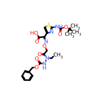 CCN(NC(=O)OCc1ccccc1)C(=O)CON=C(C(=O)O)c1csc(NC(=O)OC(C)(C)C)n1